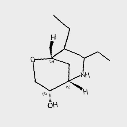 CCC1N[C@H]2C[C@H](OC[C@H]2O)C1CC